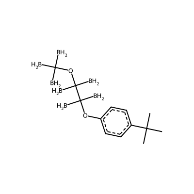 BC(B)(B)OC(B)(B)C(B)(B)Oc1ccc(C(C)(C)C)cc1